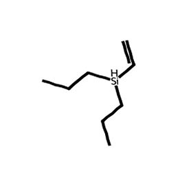 C=C[SiH](CCC)CCC